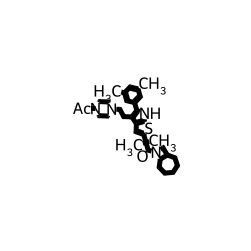 CC(=O)N1CCN(CCc2c(-c3cc(C)cc(C)c3)[nH]c3sc(C(C)(C)C(=O)N4CC5CCCCCC54)cc23)CC1